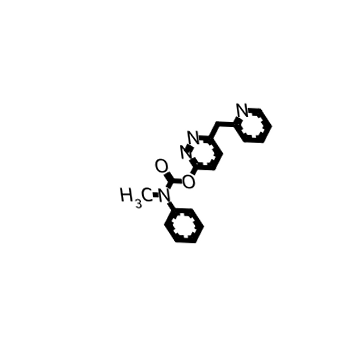 CN(C(=O)Oc1ccc(Cc2ccccn2)nn1)c1ccccc1